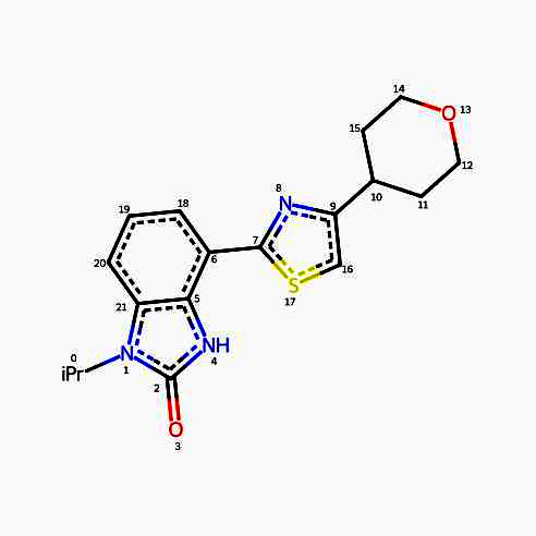 CC(C)n1c(=O)[nH]c2c(-c3nc(C4CCOCC4)cs3)cccc21